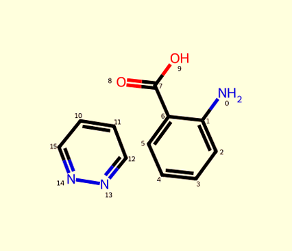 Nc1ccccc1C(=O)O.c1ccnnc1